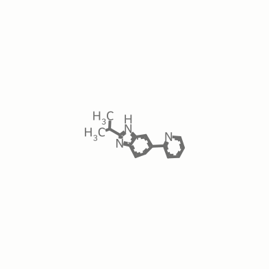 CC(C)c1nc2ccc(-c3ccccn3)cc2[nH]1